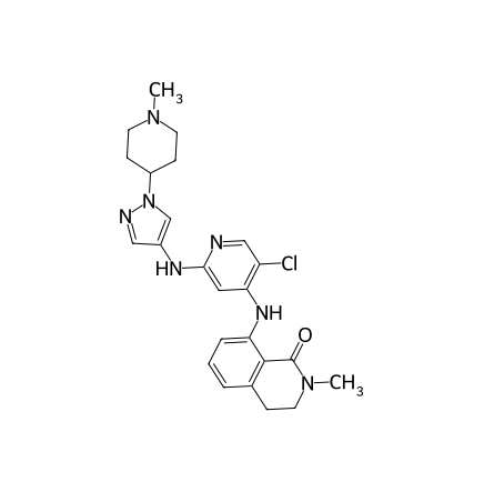 CN1CCC(n2cc(Nc3cc(Nc4cccc5c4C(=O)N(C)CC5)c(Cl)cn3)cn2)CC1